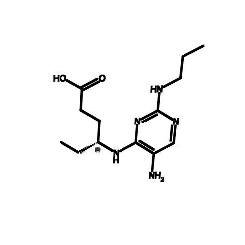 CCCNc1ncc(N)c(N[C@H](CC)CCC(=O)O)n1